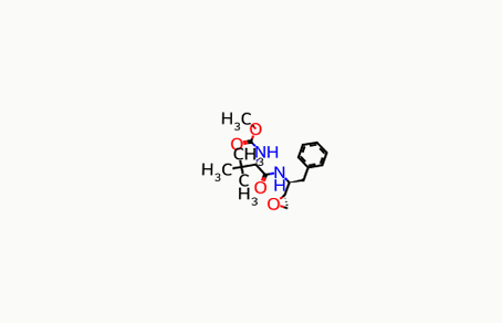 COC(=O)N[C@H](C(=O)N[C@@H](Cc1ccccc1)[C@@H]1CO1)C(C)(C)C